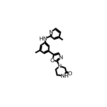 Cc1cc(Nc2cc(C)ccn2)cc(-c2cnc(N3CCNC(=O)C3)o2)c1